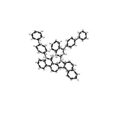 O=c1c2c(ccc3c4c5ccccc5ccc4n(-c4nc(-c5ccc(-c6ccccc6)cc5)c5ccccc5n4)c32)c2ccccc2n1-c1ccc(-c2ccccc2)cc1